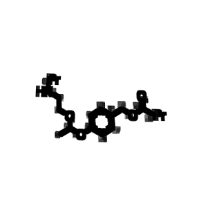 CC(C)NCCOC(C)Oc1ccc(COC(=O)C(C)C)cc1